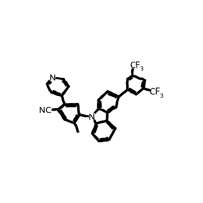 Cc1cc(C#N)c(-c2ccncc2)cc1-n1c2ccccc2c2cc(-c3cc(C(F)(F)F)cc(C(F)(F)F)c3)ccc21